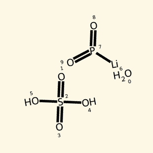 O.O=S(=O)(O)O.[Li][P](=O)=O